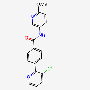 COc1ccc(NC(=O)c2ccc(-c3ncccc3Cl)cc2)cn1